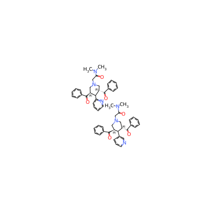 CN(C)C(=O)CN1C[C@H](C(=O)c2ccccc2)C(c2ccccn2)[C@@H](C(=O)c2ccccc2)C1.CN(C)C(=O)CN1C[C@H](C(=O)c2ccccc2)C(c2cccnc2)[C@@H](C(=O)c2ccccc2)C1